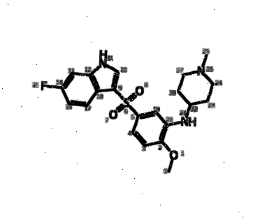 COc1ccc(S(=O)(=O)c2c[nH]c3cc(F)ccc23)cc1NC1CCN(C)CC1